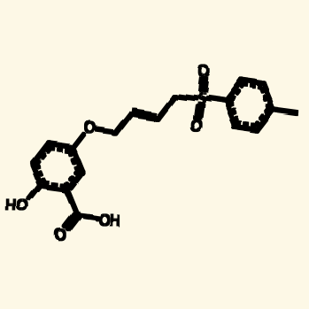 Cc1ccc(S(=O)(=O)CC=CCOc2ccc(O)c(C(=O)O)c2)cc1